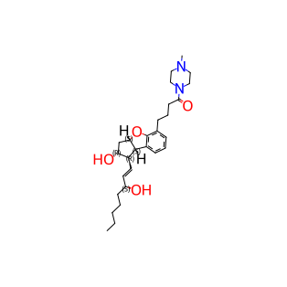 CCCCC[C@H](O)C=C[C@@H]1[C@H]2c3cccc(CCCC(=O)N4CCN(C)CC4)c3O[C@H]2C[C@H]1O